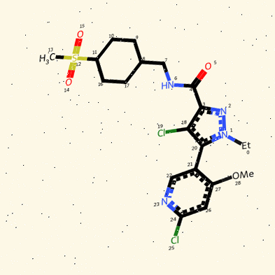 CCn1nc(C(=O)NCC2CCC(S(C)(=O)=O)CC2)c(Cl)c1-c1cnc(Cl)cc1OC